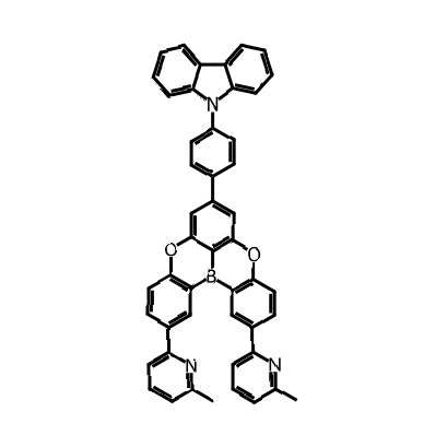 Cc1cccc(-c2ccc3c(c2)B2c4cc(-c5cccc(C)n5)ccc4Oc4cc(-c5ccc(-n6c7ccccc7c7ccccc76)cc5)cc(c42)O3)n1